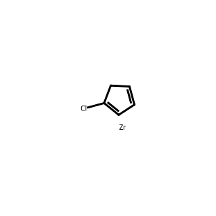 ClC1=CC=CC1.[Zr]